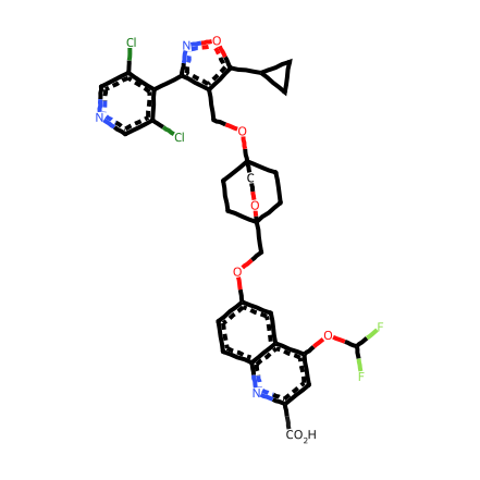 O=C(O)c1cc(OC(F)F)c2cc(OCC34CCC(OCc5c(-c6c(Cl)cncc6Cl)noc5C5CC5)(CC3)CO4)ccc2n1